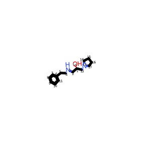 O[C@@H](CNCCc1ccccc1)CN1CCCC1